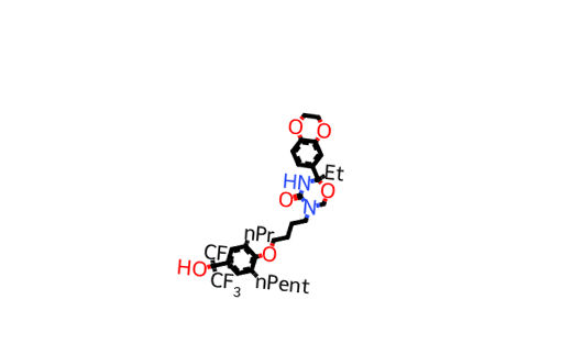 CCCCCc1cc(C(O)(C(F)(F)F)C(F)(F)F)cc(CCC)c1OCCCCN1COC(CC)(c2ccc3c(c2)OCCO3)NC1=O